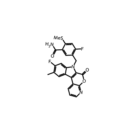 CSc1cc(F)c(Cn2c3cc(F)c(C)cc3c3c4cccnc4oc(=O)c32)cc1C(N)=O